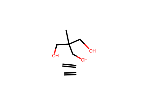 C=C.C=C.CC(CO)(CO)CO